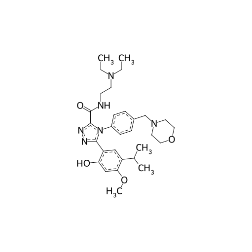 CCN(CC)CCNC(=O)c1nnc(-c2cc(C(C)C)c(OC)cc2O)n1-c1ccc(CN2CCOCC2)cc1